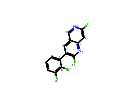 Clc1cc2nc(Cl)c(-c3cccc(Cl)c3Cl)cc2cn1